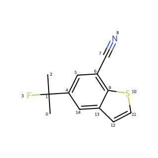 CC(C)(F)c1cc(C#N)c2sccc2c1